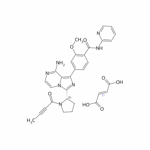 CC#CC(=O)N1CCC[C@H]1c1nc(-c2ccc(C(=O)Nc3ccccn3)c(OC)c2)c2c(N)nccn12.O=C(O)/C=C/C(=O)O